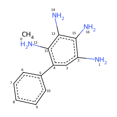 C.Nc1cc(-c2ccccc2)c(N)c(N)c1N